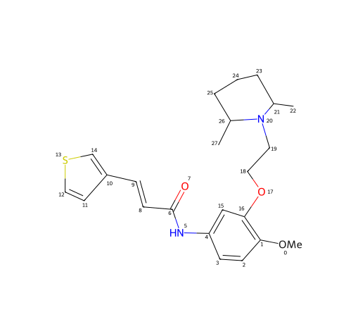 COc1ccc(NC(=O)C=Cc2ccsc2)cc1OCCN1C(C)CCCC1C